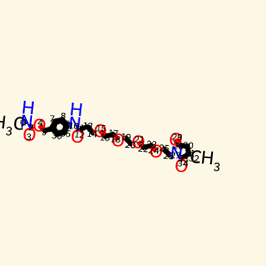 CNC(=O)OCc1ccc(NC(=O)CCOCCOCCOCCOCCN2C(=O)CC(C)C2=O)cc1